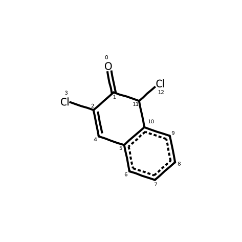 O=C1C(Cl)=Cc2ccccc2C1Cl